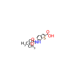 CC(C)(C)OC(=O)Nc1ccc2cc(C(=O)O)sc2c1